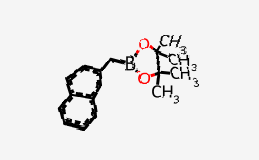 CC1(C)OB(Cc2ccc3ccccc3c2)OC1(C)C